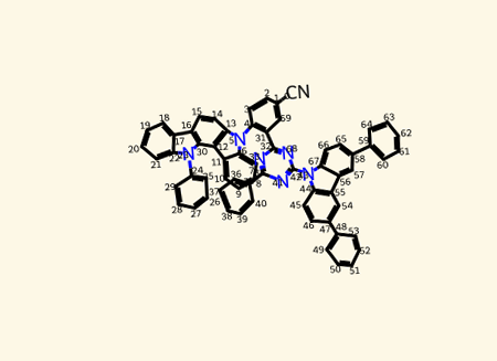 N#Cc1ccc(-n2c3ccccc3c3c2ccc2c4ccccc4n(-c4ccccc4)c23)c(-c2nc(-c3ccccc3)nc(-n3c4ccc(-c5ccccc5)cc4c4cc(-c5ccccc5)ccc43)n2)c1